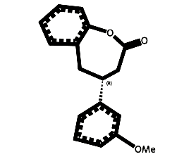 COc1cccc([C@H]2CC(=O)Oc3ccccc3C2)c1